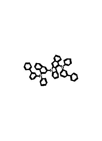 c1ccc(-c2cccc(N(c3ccccc3)c3cc(-n4c5ccccc5c5c(N(c6ccccc6)c6cccc(-c7ccccc7)c6)c6ccccc6cc54)cc4ccccc34)c2)cc1